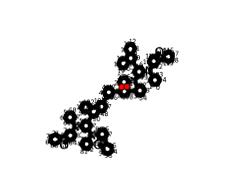 c1ccc(N(c2cc(-c3cc4ccccc4c4ccccc34)cc(N(c3ccccc3)c3ccccc3-c3ccc(-c4cccc(-c5ccc6cc(-c7cc(N(c8ccccc8)c8ccc9oc%10ccccc%10c9c8)cc(N(c8ccccc8)c8cccc9c8oc8ccccc89)c7)c7ccccc7c6c5)c4)cc3)c2)c2ccc3oc4ccccc4c3c2)cc1